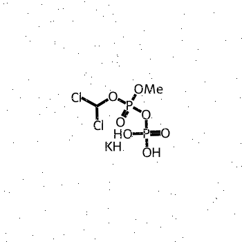 COP(=O)(OC(Cl)Cl)OP(=O)(O)O.[KH]